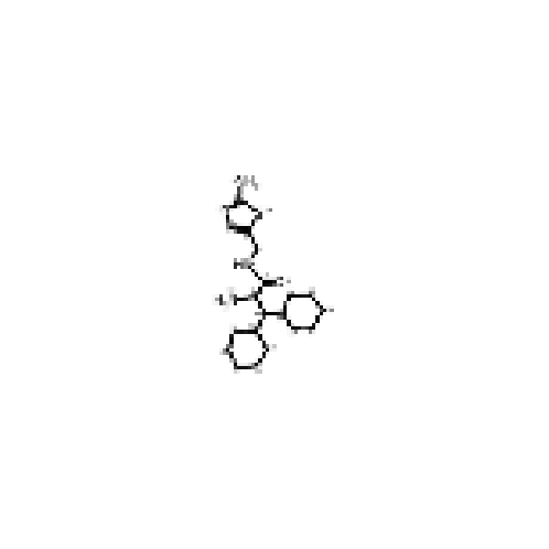 Nc1ncc(CNC(=O)C(N)C(C2CCCCC2)C2CCCCC2)s1